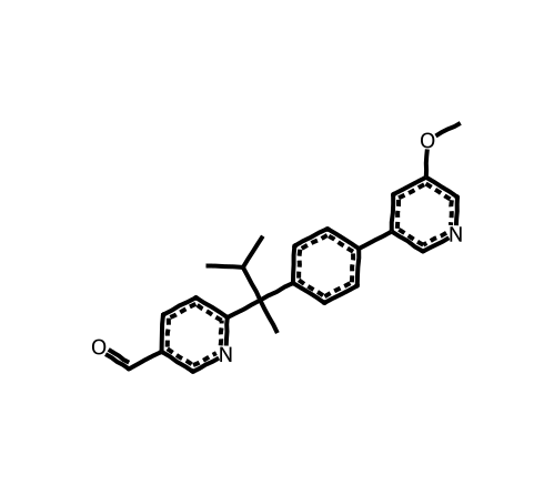 COc1cncc(-c2ccc(C(C)(c3ccc(C=O)cn3)C(C)C)cc2)c1